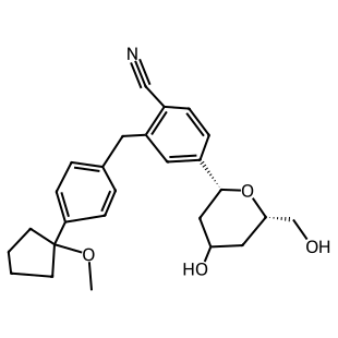 COC1(c2ccc(Cc3cc([C@H]4CC(O)C[C@@H](CO)O4)ccc3C#N)cc2)CCCC1